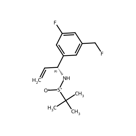 C=C[C@@H](N[S+]([O-])C(C)(C)C)c1cc(F)cc(CF)c1